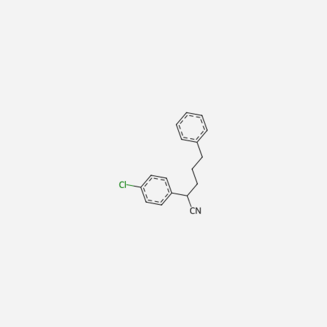 N#CC(CCCc1ccccc1)c1ccc(Cl)cc1